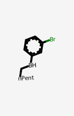 CCCCCCBc1cccc(Br)c1